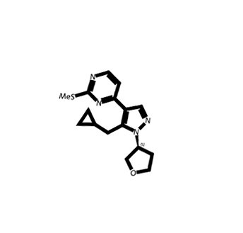 CSc1nccc(-c2cnn([C@H]3CCOC3)c2CC2CC2)n1